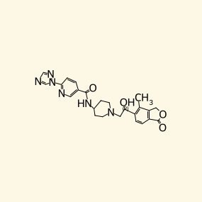 Cc1c([C@@H](O)CN2CCC(NC(=O)c3ccc(-n4cncn4)nc3)CC2)ccc2c1COC2=O